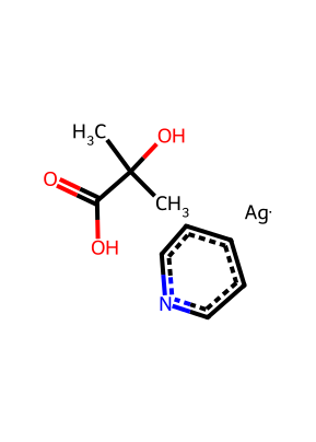 CC(C)(O)C(=O)O.[Ag].c1ccncc1